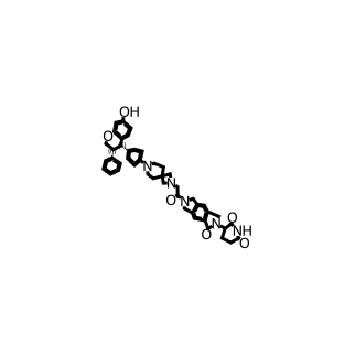 O=C1CCC(N2Cc3cc4c(cc3C2=O)CN(C(=O)CN2CC3(CCN(c5ccc([C@H]6c7ccc(O)cc7OC[C@H]6c6ccccc6)cc5)CC3)C2)C4)C(=O)N1